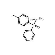 B.COP(=O)(c1ccccc1)c1ccc(C)cc1